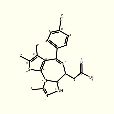 CC1=NNC2C(CC(=O)O)N=C(c3ccc(Cl)cc3)c3c(sc(C)c3C)N12